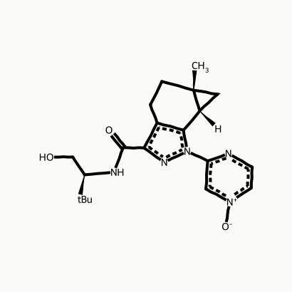 CC(C)(C)[C@@H](CO)NC(=O)c1nn(-c2c[n+]([O-])ccn2)c2c1CC[C@]1(C)C[C@H]21